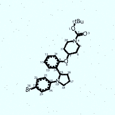 CC(C)(C)OC(=O)N1CCC(Oc2ccccc2C2CCCN2c2ccc(Br)cc2)CC1